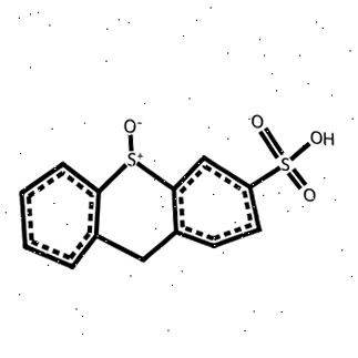 O=S(=O)(O)c1ccc2c(c1)[S+]([O-])c1ccccc1C2